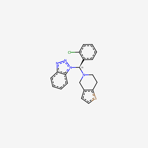 Clc1ccccc1[C@@H](N1CCc2sccc2C1)n1nnc2ccccc21